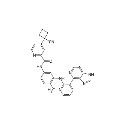 Cc1ccc(NC(=O)c2cc(C3(C#N)CCC3)ccn2)cc1Nc1ncccc1-c1ncnc2[nH]cnc12